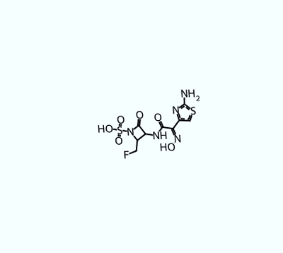 Nc1nc(C(=NO)C(=O)NC2C(=O)N(S(=O)(=O)O)C2CF)cs1